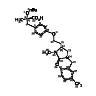 CCCCO[C@@](C)(Cc1ccc(OCC[C@@H]2CN(Cc3cccc(C(F)(F)F)c3)C(=O)N2C)cc1)C(=O)O